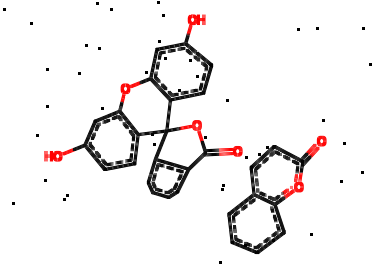 O=C1OC2(c3ccc(O)cc3Oc3cc(O)ccc32)c2ccccc21.O=c1ccc2ccccc2o1